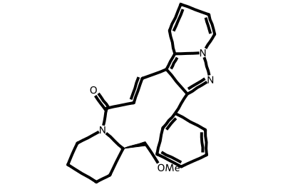 COC[C@H]1CCCCN1C(=O)/C=C/c1c(-c2ccccc2)nn2ccccc12